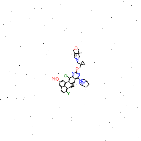 C#Cc1c(F)ccc2cc(O)cc(-c3c(C(C)C)cc4c(N5CC6CCC(C5)N6)nc(OCC5(CN6C[C@@]7(C)COC[C@]7(C)C6)CC5)nc4c3Cl)c12